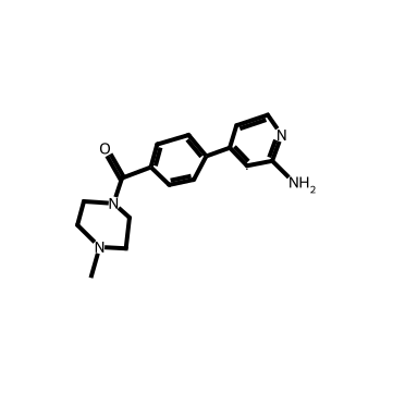 CN1CCN(C(=O)c2ccc(-c3[c]c(N)ncc3)cc2)CC1